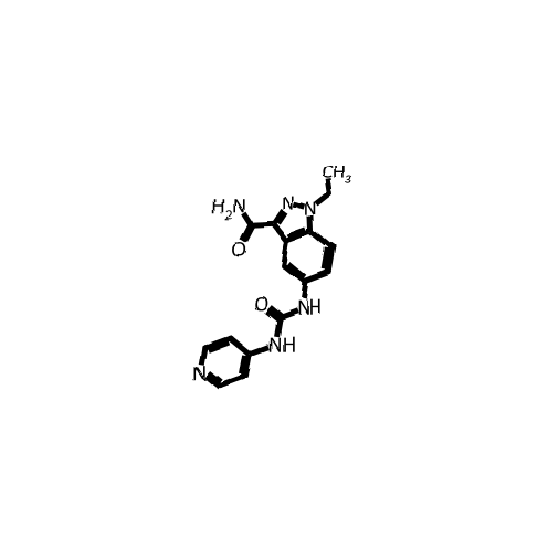 CCn1nc(C(N)=O)c2cc(NC(=O)Nc3ccncc3)ccc21